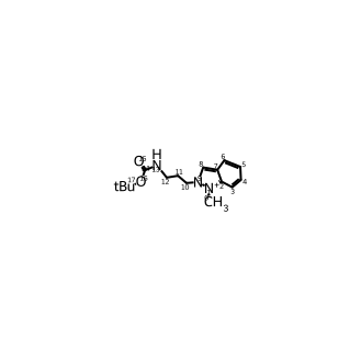 C[n+]1c2ccccc2cn1CCCNC(=O)OC(C)(C)C